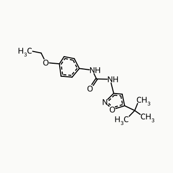 CCOc1ccc(NC(=O)Nc2cc(C(C)(C)C)on2)cc1